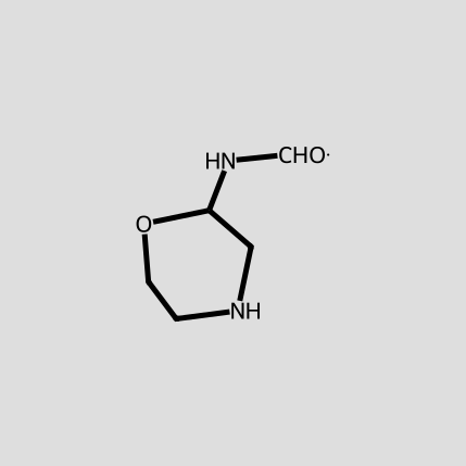 O=[C]NC1CNCCO1